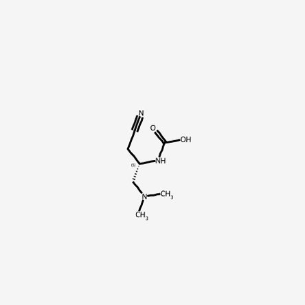 CN(C)C[C@H](CC#N)NC(=O)O